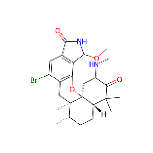 CNC1C[C@@]23Oc4c(c(Br)cc5c4C(OC)NC5=O)C[C@]2(C)[C@@H](C)CC[C@H]3C(C)(C)C1=O